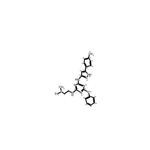 CCN(C)CCNc1nc(Nc2cc(-c3ccc(C)cc3)[nH]n2)nc(Oc2ccccc2)n1